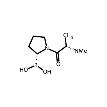 CN[C@@H](C)C(=O)N1CCC[C@H]1B(O)O